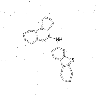 c1ccc2c(c1)cc(Nc1ccc3c(c1)sc1ccccc13)c1ccccc12